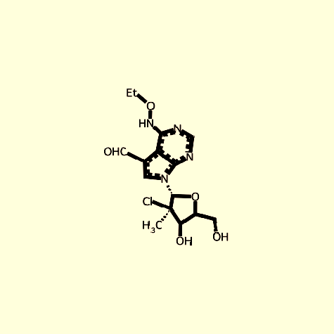 CCONc1ncnc2c1c(C=O)cn2[C@@H]1OC(CO)C(O)[C@@]1(C)Cl